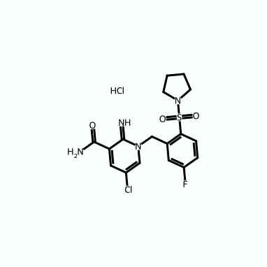 Cl.N=c1c(C(N)=O)cc(Cl)cn1Cc1cc(F)ccc1S(=O)(=O)N1CCCC1